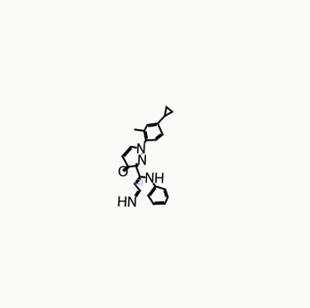 Cc1cc(C2CC2)ccc1-n1ccc(=O)c(/C(=C/C=N)Nc2ccccc2)n1